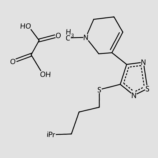 CC(C)CCCSc1nsnc1C1=CCCN(C)C1.O=C(O)C(=O)O